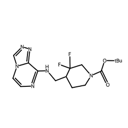 CC(C)(C)OC(=O)N1CCC(CNc2nccn3cnnc23)C(F)(F)C1